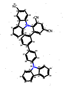 N#Cc1cc(C#N)c(-n2c3ccccc3c3cc(C#N)ccc32)c(-c2cccc(-c3ccc(-n4c5ccccc5c5ccccc54)cc3)c2)c1